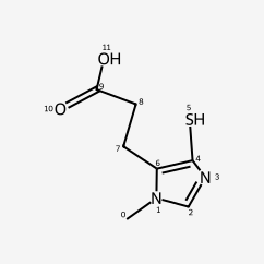 Cn1cnc(S)c1CCC(=O)O